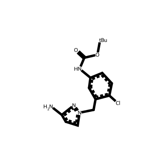 CC(C)(C)OC(=O)Nc1ccc(Cl)c(Cn2ccc(N)n2)c1